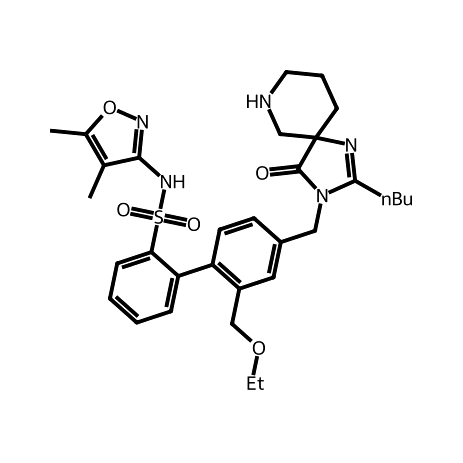 CCCCC1=NC2(CCCNC2)C(=O)N1Cc1ccc(-c2ccccc2S(=O)(=O)Nc2noc(C)c2C)c(COCC)c1